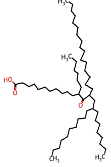 CCCCCCCCCCCCCCCCC(CC(CCCCCCCC)CCCCCCCCCC)C(=O)C(CCCCCC)CCCCCCCCCCC(=O)O